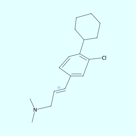 CN(C)C/C=C/c1ccc(C2CCCCC2)c(Cl)c1